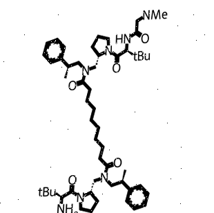 CNCC(=O)N[C@H](C(=O)N1CCC[C@H]1CN(C[C@@H](C)c1ccccc1)C(=O)CCCCCCCCC(=O)N(C[C@@H]1CCCN1C(=O)[C@@H](N)C(C)(C)C)C[C@@H](C)c1ccccc1)C(C)(C)C